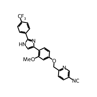 [C-]#[N+]c1ccc(COc2ccc(-c3c[nH]c(-c4ccc(C(F)(F)F)cc4)n3)c(OC)c2)nc1